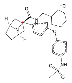 CS(=O)(=O)Nc1ccc(Oc2ccc(CN3[C@@H]4CC[C@H]3C[C@@H](C(=O)NCC3CCCCC3)C4)cc2)cc1.Cl